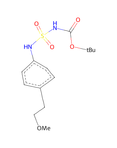 COCCc1ccc(NS(=O)(=O)NC(=O)OC(C)(C)C)cc1